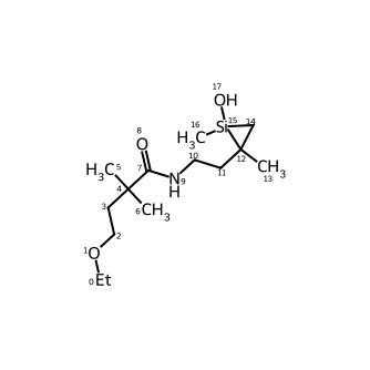 CCOCCC(C)(C)C(=O)NCCC1(C)C[Si]1(C)O